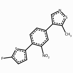 Cc1sncc1-c1ccc(-c2ccc(F)s2)c([N+](=O)[O-])c1